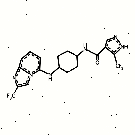 O=C(NC1CCC(Nc2cccc3nc(C(F)(F)F)cn23)CC1)c1cn[nH]c1C(F)(F)F